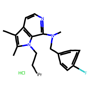 Cc1c(C)n(CCC(C)C)c2c(N(C)Cc3ccc(F)cc3)nccc12.Cl